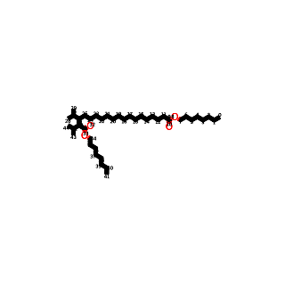 CCCCCCCCOC(=O)CCCCCCCCCCCCCCCC(C(C)C)C(C(=O)OCCCCCCCC)C(C)C